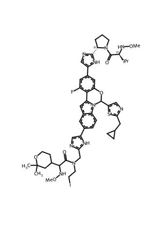 CONC(C(=O)N(CCI)Cc1ncc(-c2ccc3c(c2)cc2n3C(c3cnc(CC4CC4)s3)Oc3cc(-c4cnc([C@@H]5CCCN5C(=O)[C@@H](NOC)C(C)C)[nH]4)cc(F)c3-2)[nH]1)C1CCOC(C)(C)C1